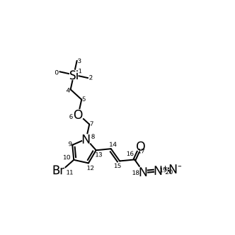 C[Si](C)(C)CCOCn1cc(Br)cc1/C=C/C(=O)N=[N+]=[N-]